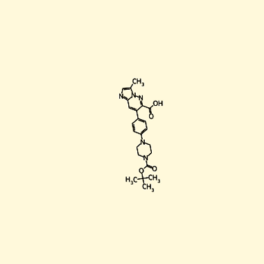 Cc1cnc2cc(-c3ccc(N4CCN(C(=O)OC(C)(C)C)CC4)cc3)c(C(=O)O)nn12